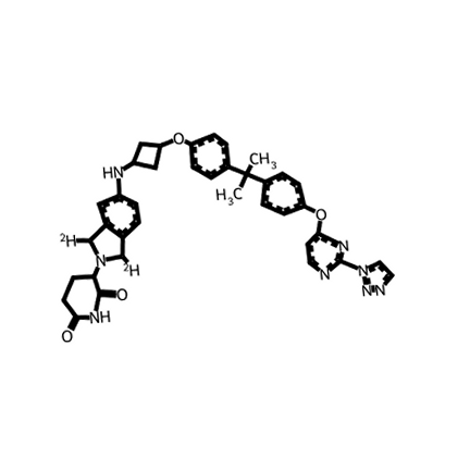 [2H]C1c2ccc(NC3CC(Oc4ccc(C(C)(C)c5ccc(Oc6ccnc(-n7ccnn7)n6)cc5)cc4)C3)cc2C([2H])N1C1CCC(=O)NC1=O